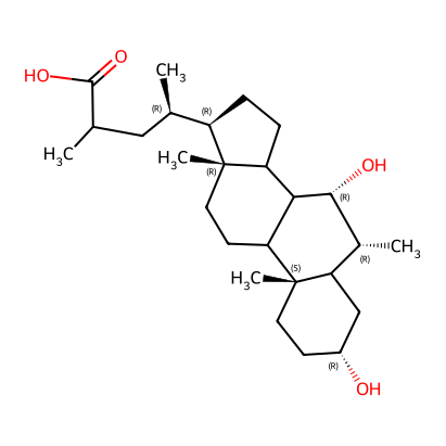 CC(C[C@@H](C)[C@H]1CCC2C3C(CC[C@@]21C)[C@@]1(C)CC[C@@H](O)CC1[C@@H](C)[C@H]3O)C(=O)O